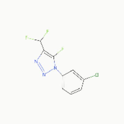 Fc1c(C(F)F)nnn1-c1cccc(Cl)c1